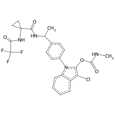 CNC(=O)Oc1c(Cl)c2ccccc2n1-c1ccc(C(C)NC(=O)C2(NC(=O)C(F)(F)F)CC2)cc1